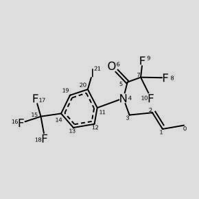 C/C=C/CN(C(=O)C(F)(F)F)c1ccc(C(F)(F)F)cc1I